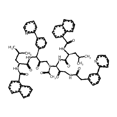 CC(=O)N(CC(=O)C(NC(=O)[C@H](CC(C)C)NC(=O)c1cccc2ccccc12)c1cccc(-c2ccccn2)c1)C(NC(=O)[C@H](CC(C)C)NC(=O)c1cccc2ccccc12)C(=O)CNC(=O)Cc1cccc(-c2ccccn2)c1